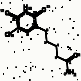 NC(=O)CCCCn1cc(Cl)c(=O)[nH]c1=O